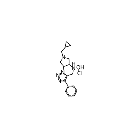 OCl.c1ccc(-c2nnn3c2CNC2CN(CC4CC4)CC23)cc1